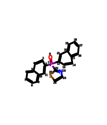 O=P(c1ccc2ccccc2c1)(c1ccc2ccccc2c1)c1nccs1